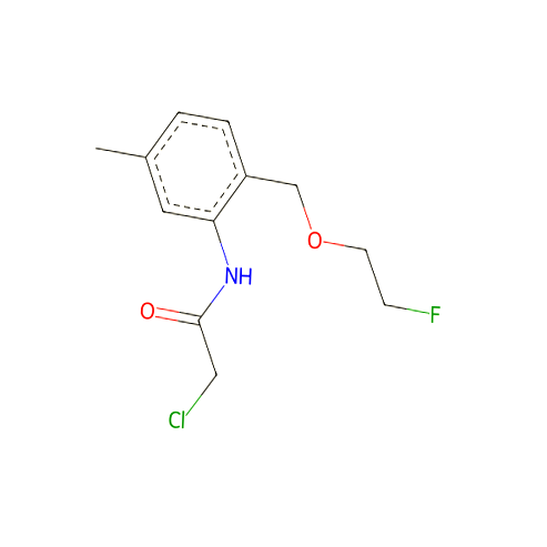 Cc1ccc(COCCF)c(NC(=O)CCl)c1